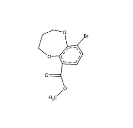 COC(=O)c1ccc(Br)c2c1OCCCO2